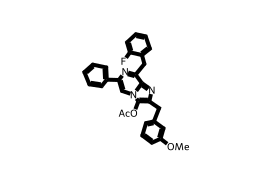 COc1cccc(Cc2nc3c(Cc4ccccc4F)nc(-c4ccccc4)cn3c2OC(C)=O)c1